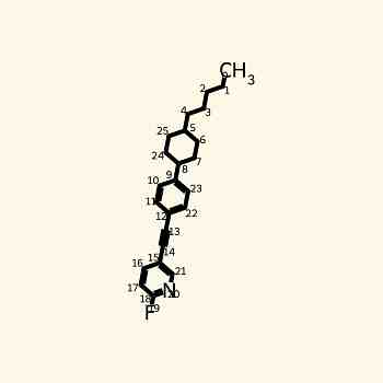 CCCCCC1CCC(c2ccc(C#Cc3ccc(F)nc3)cc2)CC1